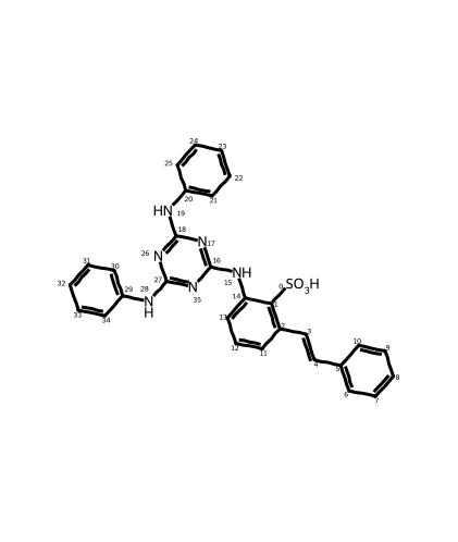 O=S(=O)(O)c1c(C=Cc2ccccc2)cccc1Nc1nc(Nc2ccccc2)nc(Nc2ccccc2)n1